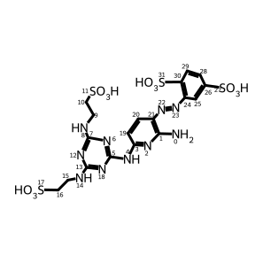 Nc1nc(Nc2nc(NCCS(=O)(=O)O)nc(NCCS(=O)(=O)O)n2)ccc1/N=N/c1cc(S(=O)(=O)O)ccc1S(=O)(=O)O